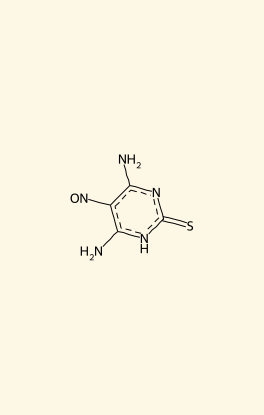 Nc1nc(=S)[nH]c(N)c1N=O